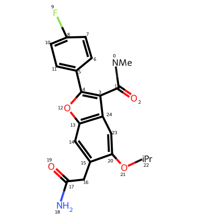 CNC(=O)c1c(-c2ccc(F)cc2)oc2cc(CC(N)=O)c(OC(C)C)cc12